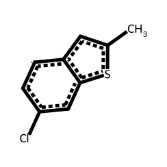 Cc1cc2[c]cc(Cl)cc2s1